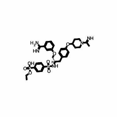 CCOP(=O)(O)c1ccc(S(=O)(=O)N[C@H](COc2cccc(C(=N)N)c2)Cc2ccc(OC3CCN(C(C)=N)CC3)cc2)cc1